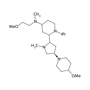 COCCN(C)C1CCN(C(C)C)C(C2C[C@@H](N3CCC(OC)CC3)CN2C)C1